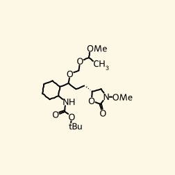 COC(C)OCOC(CC[C@@H]1CN(OC)C(=O)O1)C1CCCCC1NC(=O)OC(C)(C)C